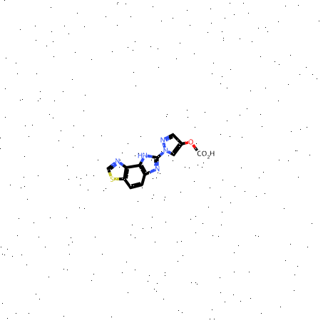 O=C(O)Oc1cnn(-c2nc3ccc4scnc4c3[nH]2)c1